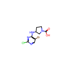 O=C(O)N1CCC(Nc2nc(Cl)ncc2Br)C1